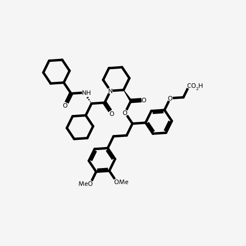 COc1ccc(CCC(OC(=O)[C@@H]2CCCCN2C(=O)[C@@H](NC(=O)C2CCCCC2)C2CCCCC2)c2cccc(OCC(=O)O)c2)cc1OC